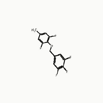 Cc1cc(F)c(OCc2cc(F)c(F)c(F)c2)c(F)c1